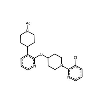 CC(=O)N1CCC(c2cccnc2OC2CCN(c3ncccc3Cl)CC2)CC1